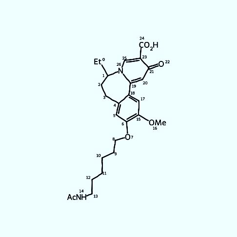 CCC1CCc2cc(OCCCCCCNC(C)=O)c(OC)cc2-c2cc(=O)c(C(=O)O)cn21